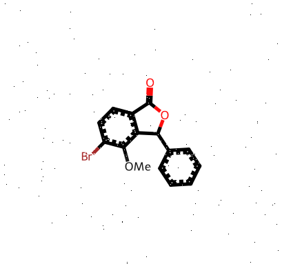 COc1c(Br)ccc2c1C(c1ccccc1)OC2=O